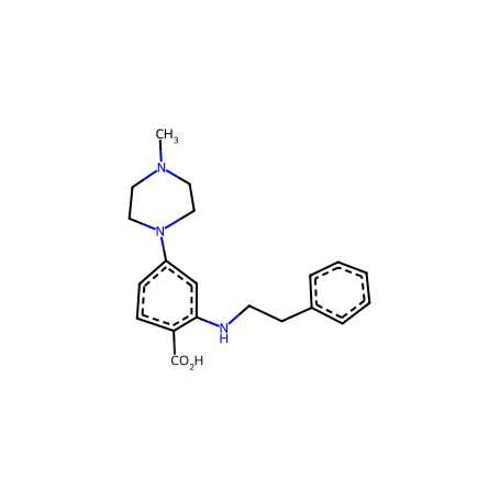 CN1CCN(c2ccc(C(=O)O)c(NCCc3ccccc3)c2)CC1